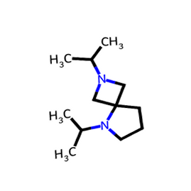 CC(C)N1CC2(CCCN2C(C)C)C1